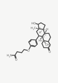 C[C@]12CCC(=O)CC1CC[C@@H]1[C@H]2C(c2ccc(OCCCC(N)=O)cc2)C[C@]2(C)C(O)CC[C@@H]12